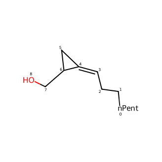 CCCCCCCC=C1CC1CO